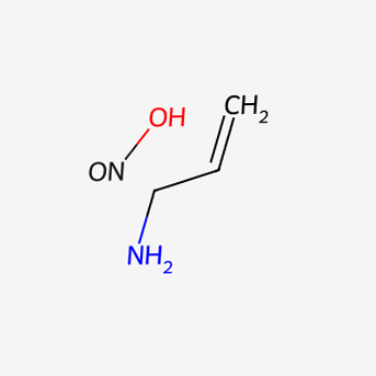 C=CCN.O=NO